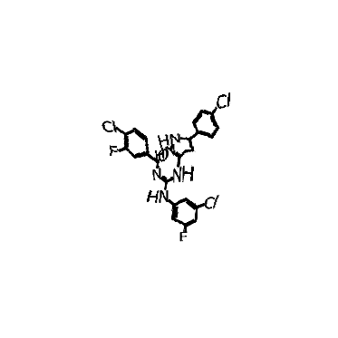 O=C(/N=C(/Nc1cc(F)cc(Cl)c1)NC1CC(c2ccc(Cl)cc2)NN1)c1ccc(Cl)c(F)c1